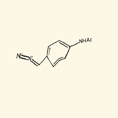 CC(=O)Nc1ccc(C=[N+]=[N-])cc1